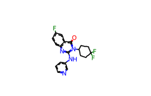 O=c1c2cc(F)ccc2nc(Nc2cccnc2)n1C1CCC(F)(F)CC1